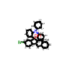 OC1(c2ccccc2N(c2ccccc2)c2ccccc2)c2cc(Br)ccc2-c2cc3ccccc3cc21